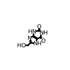 O=c1[nH]c(=O)c2[nH]c(CO)nc2[nH]1